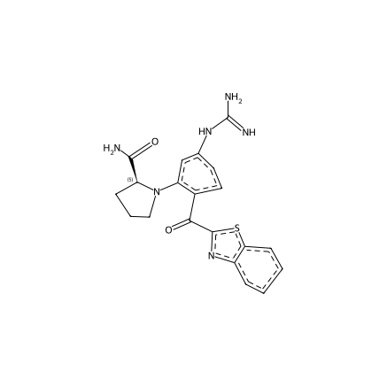 N=C(N)Nc1ccc(C(=O)c2nc3ccccc3s2)c(N2CCC[C@H]2C(N)=O)c1